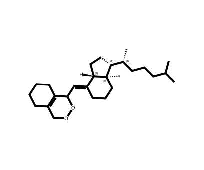 CC(C)CCC[C@@H](C)[C@H]1CC[C@H]2C(=CC3OOCC4=C3CCCC4)CCC[C@]12C